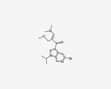 COC/C(=C\N(C)C)C(=O)c1cn(C(C)C)c2cnc(Br)cc12